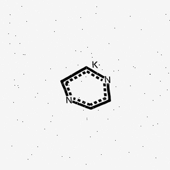 [K].c1cnccn1